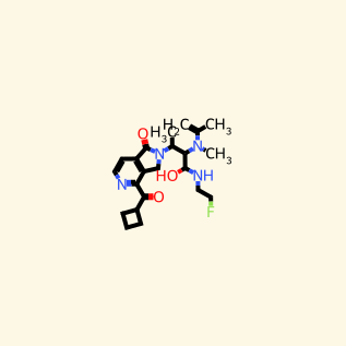 C=C(C)N(C)C(C(O)NCCF)C(C)N1Cc2c(ccnc2C(=O)C2CCC2)C1=O